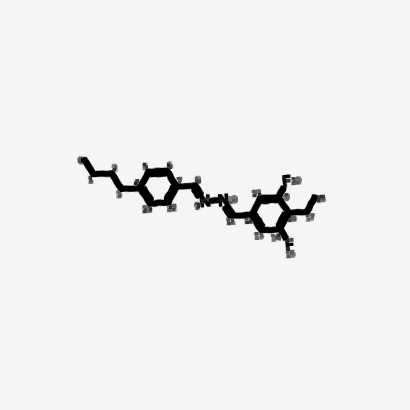 CCCCc1ccc(C=NN=Cc2cc(F)c(CC)c(F)c2)cc1